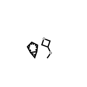 COC1COC1.c1cc2cc-2c1